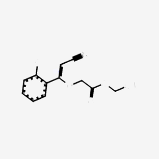 CCOC(=O)CO/C(=C\C#N)c1ccccc1Cl